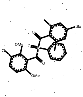 COc1ccc(Cl)c(OC)c1C(=O)P(=O)(C(=O)c1c(C)cc(C(C)(C)C)cc1C)c1ccccc1